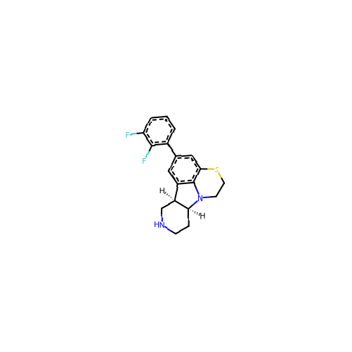 Fc1cccc(-c2cc3c4c(c2)[C@@H]2CNCC[C@@H]2N4CCS3)c1F